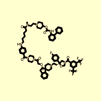 CN(CCN1CCC(OC(=O)Nc2ccccc2-c2ccccc2)CC1)C(=O)CCCCCNc1ccc(C(=O)N2CCN(C(=O)CO[C@H]3Cc4ccccc4C34CCN(CC[C@]3(c5ccc(F)cc5)CN(C(=O)c5cc(C(F)(F)F)cc(C(F)(F)F)c5)CO3)CC4)CC2)cc1